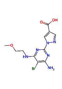 COCCNc1nc(-n2cc(C(=O)O)cn2)nc(N)c1Br